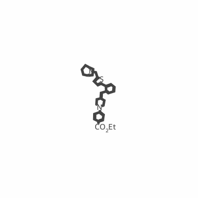 CCOC(=O)c1ccc(N2CCC(=Cc3ccccc3-c3ccc(CN4C5CCCC4CC5)s3)CC2)cc1